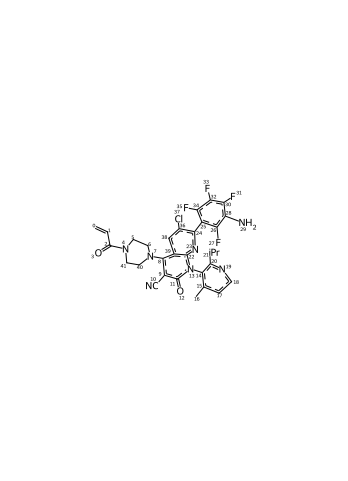 C=CC(=O)N1CCN(c2c(C#N)c(=O)n(-c3c(C)ccnc3C(C)C)c3nc(-c4c(F)c(N)c(F)c(F)c4F)c(Cl)cc23)CC1